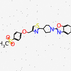 CS(=O)(=O)c1ccc(OCc2csc(C3CCN(c4nc5ccccc5o4)CC3)n2)cc1